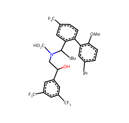 COc1ccc(C(C)C)cc1-c1ccc(C(F)(F)F)cc1C(N(CC(O)c1cc(C(F)(F)F)cc(C(F)(F)F)c1)C(=O)O)C(C)(C)C